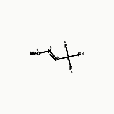 CON=CC(F)(F)F